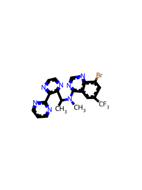 CC(c1nccnc1-c1ncccn1)N(C)c1ncnc2c(Br)cc(C(F)(F)F)cc12